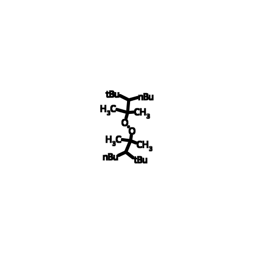 CCCCC(C(C)(C)C)C(C)(C)OOC(C)(C)C(CCCC)C(C)(C)C